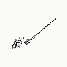 CCCCCCCCCCCCCCCCCSCCCOP(=O)(O)OC[C@H]1O[C@@](C#N)(c2ccc3c(C)ncnn23)[C@H](O)[C@@H]1O